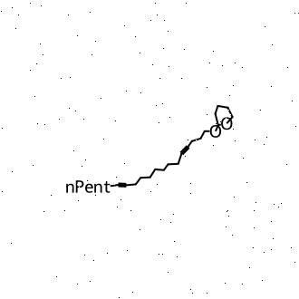 CCCCCC#CCCCCCCCC#CCCCOC1CCCCO1